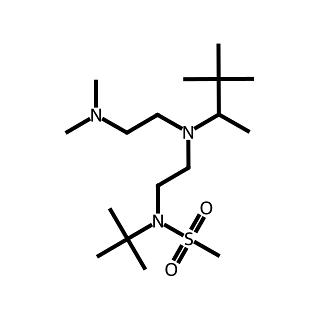 CC(N(CCN(C)C)CCN(C(C)(C)C)S(C)(=O)=O)C(C)(C)C